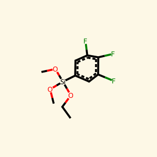 CCO[Si](OC)(OC)c1cc(F)c(F)c(F)c1